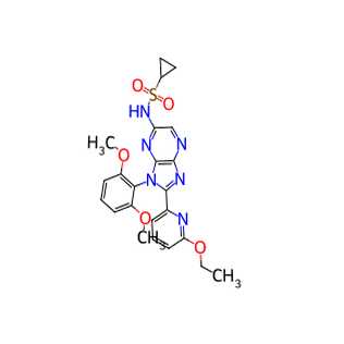 CCOc1cccc(-c2nc3ncc(NS(=O)(=O)C4CC4)nc3n2-c2c(OC)cccc2OC)n1